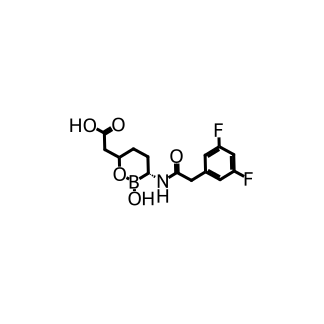 O=C(O)CC1CC[C@H](NC(=O)Cc2cc(F)cc(F)c2)B(O)O1